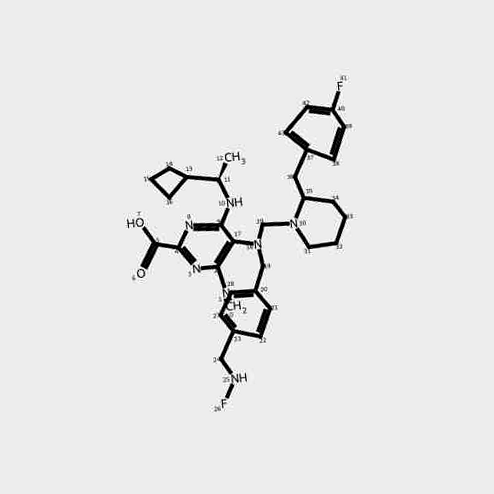 C=Nc1nc(C(=O)O)nc(N[C@H](C)C2CCC2)c1N(Cc1ccc(CNF)cc1)CN1CCCCC1Cc1ccc(F)cc1